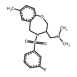 Cc1ccc2c(c1)CN(S(=O)(=O)c1cccc(F)c1)C(CN(C)C)CO2